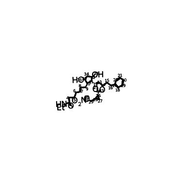 CCNC(=O)CCCC=CC[C@@H]1[C@@H](C=CC(CCc2ccccc2)OC(=O)[C@H]2CC2CO[N+](=O)[O-])[C@H](O)C[C@@H]1O